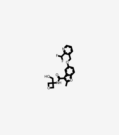 Cc1oc2ccc(OCc3cccnc3C(F)F)cc2c1C(=O)NC1(CO)COC1